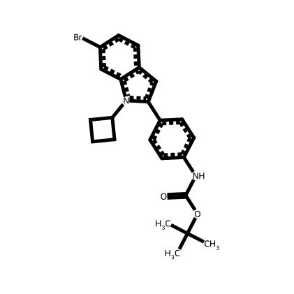 CC(C)(C)OC(=O)Nc1ccc(-c2cc3ccc(Br)cc3n2C2CCC2)cc1